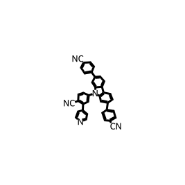 N#Cc1ccc(-c2ccc3c4ccc(-c5ccc(C#N)cc5)cc4n(-c4ccc(C#N)c(-c5ccncc5)c4)c3c2)cc1